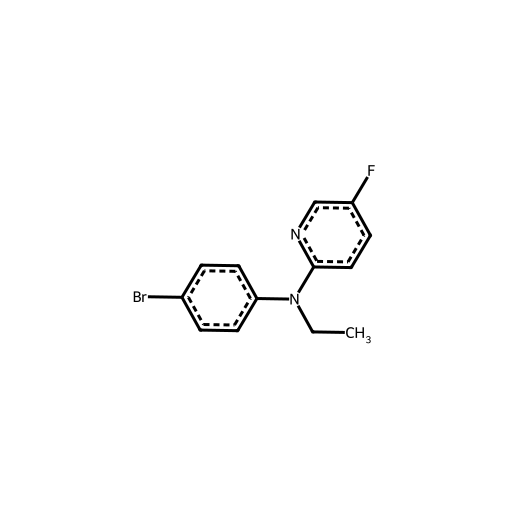 CCN(c1ccc(Br)cc1)c1ccc(F)cn1